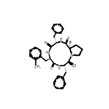 Cc1ccccc1C[C@H]1NC(=O)[C@H](Cc2ccccc2)NC(=O)[C@H]2CCCN2C(=O)[C@H](Cc2ccccc2)NC1=O